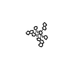 c1ccc(N2c3cc(-c4ccc5ccccc5c4)cc4c3B(c3ccc5c(ccc6ccccc65)c32)c2ccc3c(ccc5ccccc53)c2N4c2ccccc2)cc1